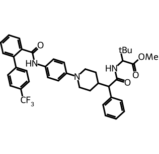 COC(=O)C(NC(=O)C(c1ccccc1)C1CCN(c2ccc(NC(=O)c3ccccc3-c3ccc(C(F)(F)F)cc3)cc2)CC1)C(C)(C)C